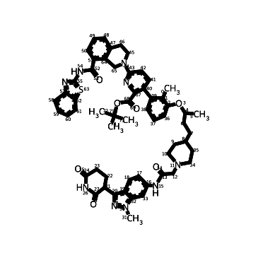 Cc1c(OC(C)CCC2CCN(CC(=O)Nc3ccc4c(C5CCC(=O)NC5=O)nn(C)c4c3)CC2)cccc1-c1ccc(N2CCc3cccc(C(=O)Nc4nc5ccccc5s4)c3C2)nc1C(=O)OC(C)(C)C